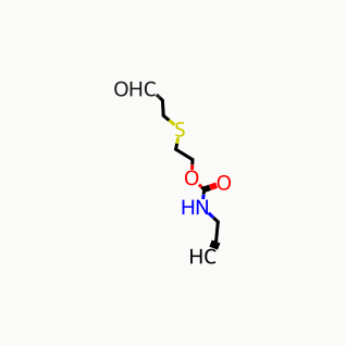 C#CCNC(=O)OCCSCCC=O